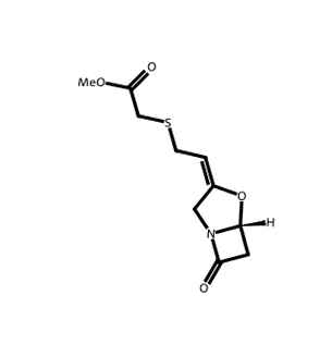 COC(=O)CSC/C=C1\CN2C(=O)C[C@H]2O1